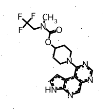 CN(CC(F)(F)F)C(=O)OC1CCN(c2ncnc3cnc4[nH]ccc4c23)CC1